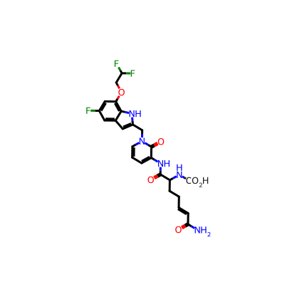 NC(=O)C=CCCC(NC(=O)O)C(=O)Nc1cccn(Cc2cc3cc(F)cc(OCC(F)F)c3[nH]2)c1=O